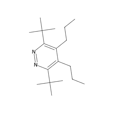 CCCc1c(C(C)(C)C)nnc(C(C)(C)C)c1CCC